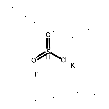 O=[SH](=O)Cl.[I-].[K+]